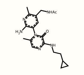 CC(=O)NCc1cc(-n2c(C)cnc(NCCC3CC3)c2=O)c(N)nc1C